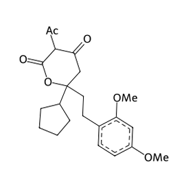 COc1ccc(CCC2(C3CCCC3)CC(=O)C(C(C)=O)C(=O)O2)c(OC)c1